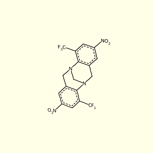 O=[N+]([O-])c1cc2c(c(C(F)(F)F)c1)N1Cc3cc([N+](=O)[O-])cc(C(F)(F)F)c3N(C2)C1